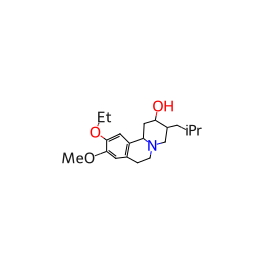 CCOc1cc2c(cc1OC)CCN1CC(CC(C)C)C(O)CC21